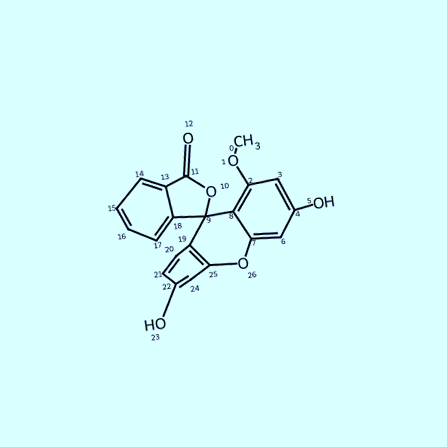 COc1cc(O)cc2c1C1(OC(=O)c3ccccc31)c1ccc(O)cc1O2